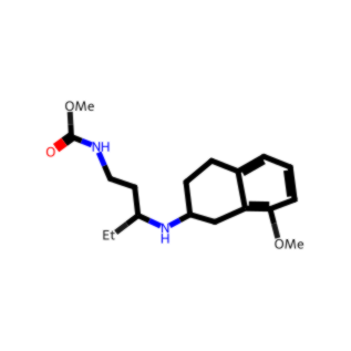 CCC(CCNC(=O)OC)NC1CCc2cccc(OC)c2C1